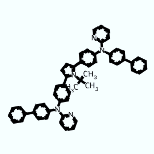 CC(C)(C)n1c(-c2ccc(N(c3ccc(-c4ccccc4)cc3)c3ccccn3)cc2)ccc1-c1ccc(N(c2ccc(-c3ccccc3)cc2)c2ccccn2)cc1